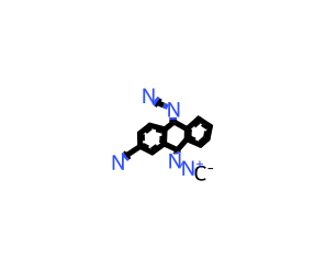 [C-]#[N+]/N=C1\c2ccccc2/C(=N/C#N)c2ccc(C#N)cc21